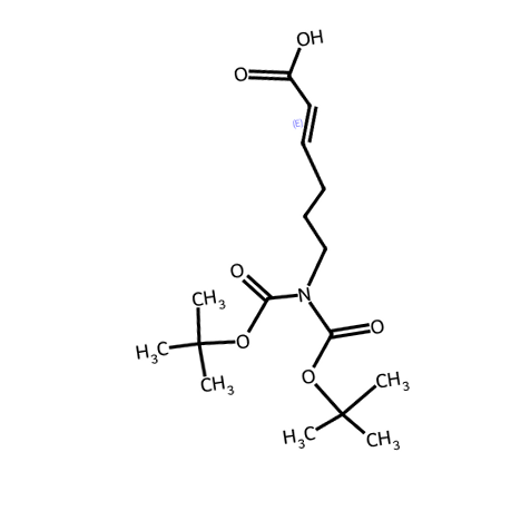 CC(C)(C)OC(=O)N(CCC/C=C/C(=O)O)C(=O)OC(C)(C)C